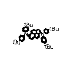 CC(C)(C)c1ccc(N(C2=CC=C3C=CC4=C5C(=CC=C2C35)CC=C4N(c2ccc(C(C)(C)C)cc2)c2ccc(C(C)(C)C)cc2)c2ccc(C(C)(C)C)cc2)cc1